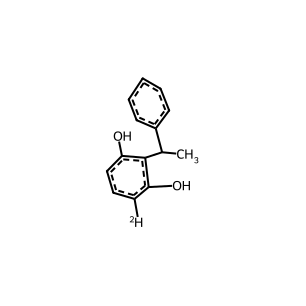 [2H]c1ccc(O)c(C(C)c2ccccc2)c1O